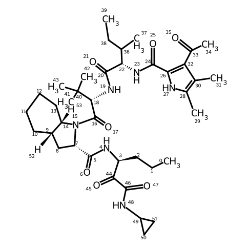 CCC[C@H](NC(=O)[C@@H]1C[C@@H]2CCCC[C@@H]2N1C(=O)[C@@H](NC(=O)[C@@H](NC(=O)c1[nH]c(C)c(C)c1C(C)=O)C(C)CC)C(C)(C)C)C(=O)C(=O)NC1CC1